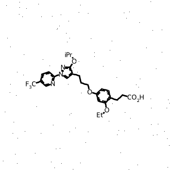 CCOc1cc(OCCCc2cn(-c3ccc(C(F)(F)F)cn3)nc2OC(C)C)ccc1CCC(=O)O